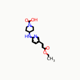 CCOC(=O)C=Cc1ccc(NC2CCN(C(=O)O)CC2)nc1